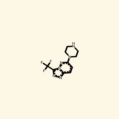 FC(F)(F)c1nnc2ccc(N3CCNCC3)nn12